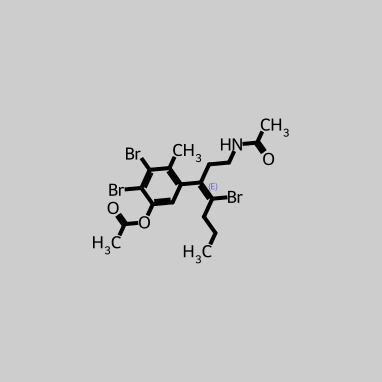 CCC/C(Br)=C(/CCNC(C)=O)c1cc(OC(C)=O)c(Br)c(Br)c1C